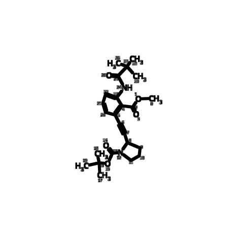 COC(=O)c1c(C#CC2CCCN2C(=O)OC(C)(C)C)cccc1NC(=O)C(C)(C)C